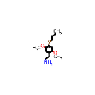 CCCCSc1cc(OC)c(CCN)cc1OC